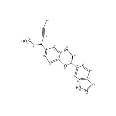 CC#CC(CC(=O)O)c1ccc(O[C@@H](CC(C)C)c2ccc3cn[nH]c3c2)cc1